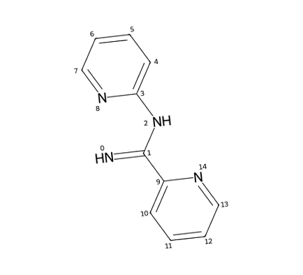 N=C(Nc1ccccn1)c1ccccn1